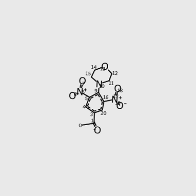 CC(=O)c1cc([N+](=O)[O-])c(N2CCOCC2)c([N+](=O)[O-])c1